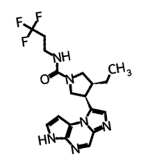 CC[C@@H]1CN(C(=O)NCCC(F)(F)F)C[C@@H]1c1cnc2cnc3[nH]ccc3n12